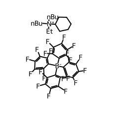 CCCC[N+](CC)(CCCC)C1CCCCC1.Fc1c(F)c(F)c([B-](c2c(F)c(F)c(F)c(F)c2F)(c2c(F)c(F)c(F)c(F)c2F)c2c(F)c(F)c(F)c(F)c2F)c(F)c1F